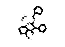 Cc1cccc(Cl)c1C(=O)C(C(=O)OCc1ccccc1)c1ccccc1.O=P